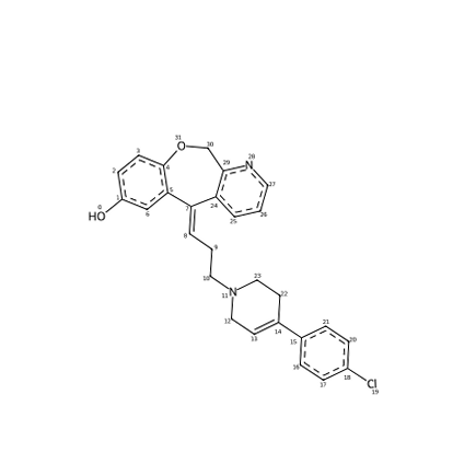 Oc1ccc2c(c1)/C(=C/CCN1CC=C(c3ccc(Cl)cc3)CC1)c1cccnc1CO2